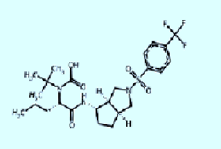 CCC[C@@H](C(=O)N[C@H]1CC[C@@H]2CN(S(=O)(=O)c3ccc(C(F)(F)F)cc3)C[C@@H]21)N(C(=O)O)C(C)(C)C